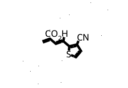 C=CC=C(C(=O)O)c1sccc1C#N